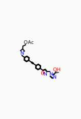 CC(=O)OCCC1CN(Cc2ccc(C#Cc3ccc(-c4cc(Cn5ccnc5[C@H](C)O)no4)cc3)cc2)C1